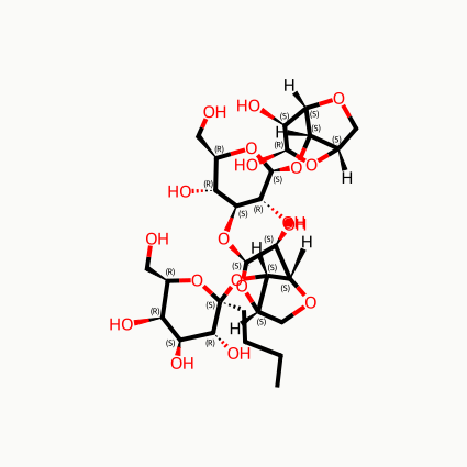 CCCC[C@@]1(O[C@@H]2[C@H]3OC[C@@H]2O[C@@H](O[C@@H]2[C@@H](O)[C@H](O[C@@H]4[C@H]5OC[C@@H]4O[C@@H](O)[C@H]5O)O[C@H](CO)[C@H]2O)[C@H]3O)O[C@H](CO)[C@H](O)[C@H](O)[C@H]1O